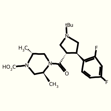 C[C@@H]1CN(C(=O)[C@@H]2CN(C(C)(C)C)C[C@H]2c2ccc(F)cc2F)[C@@H](C)CN1C(=O)O